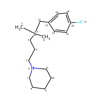 C[Si](C)(CCCN1CCCCC1)Cc1ccc(F)cc1